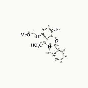 COCOc1ccc(F)cc1C(C(=O)O)N1Cc2ccccc2C1=O